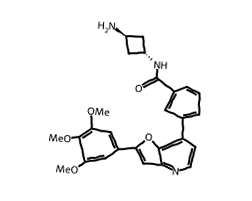 COc1cc(-c2cc3nccc(-c4cccc(C(=O)N[C@H]5C[C@H](N)C5)c4)c3o2)cc(OC)c1OC